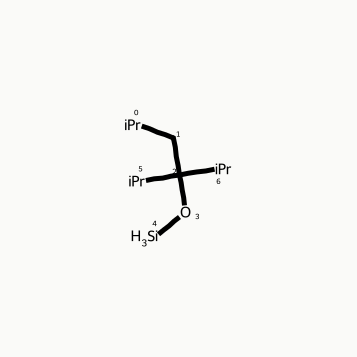 CC(C)CC(O[SiH3])(C(C)C)C(C)C